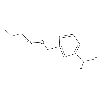 CCC=NOCc1cccc(C(F)F)c1